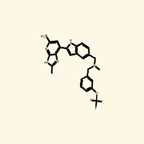 Cc1nc2c(-c3cc4cc(CN(C)Cc5cccc(OC(F)(F)F)c5)ccc4[nH]3)cc(N)nc2[nH]1